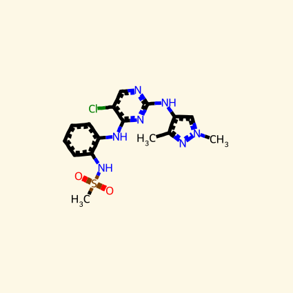 Cc1nn(C)cc1Nc1ncc(Cl)c(Nc2ccccc2NS(C)(=O)=O)n1